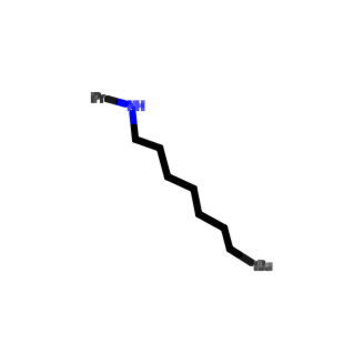 CC(C)NCCCCCCCC(C)(C)C